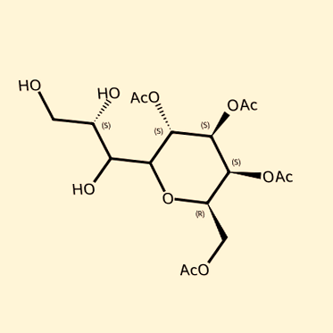 CC(=O)OC[C@H]1OC(C(O)[C@@H](O)CO)[C@H](OC(C)=O)[C@@H](OC(C)=O)[C@H]1OC(C)=O